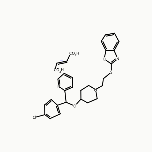 Clc1ccc(C(OC2CCN(CCSc3nc4ccccc4o3)CC2)c2ccccn2)cc1.O=C(O)/C=C/C(=O)O